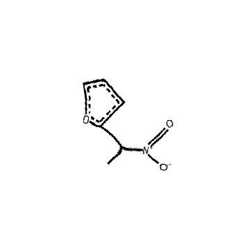 CC(c1ccco1)[N+](=O)[O-]